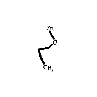 CC[O][Zn]